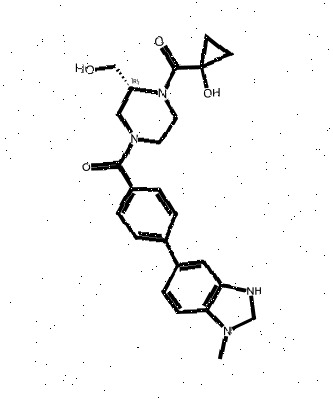 CN1CNc2cc(-c3ccc(C(=O)N4CCN(C(=O)C5(O)CC5)[C@@H](CO)C4)cc3)ccc21